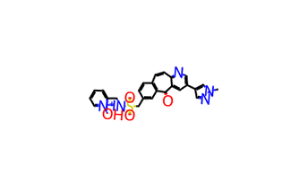 Cn1cc(-c2cnc3ccc4ccc(CS(=O)(=O)NCc5cccc[n+]5O)cc4c(=O)c3c2)cn1